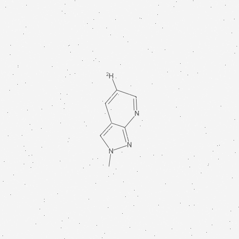 [2H]c1cnc2nn(C)cc2c1